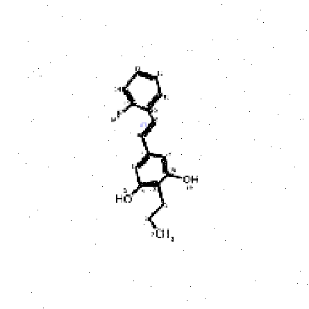 CCCc1c(O)cc(/C=C/c2ccccc2F)cc1O